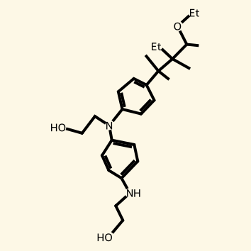 CCOC(C)C(C)(CC)C(C)(C)c1ccc(N(CCO)c2ccc(NCCO)cc2)cc1